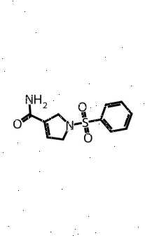 NC(=O)C1=CCN(S(=O)(=O)c2ccccc2)C1